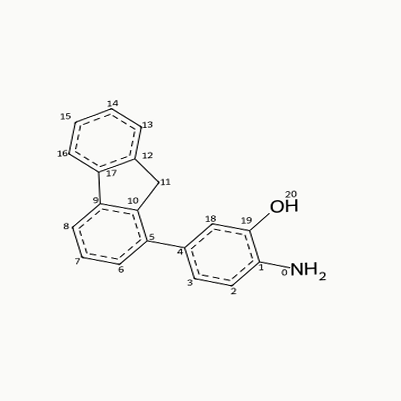 Nc1ccc(-c2cccc3c2Cc2ccccc2-3)cc1O